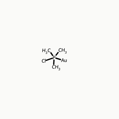 C[P](C)(C)(Cl)[Au]